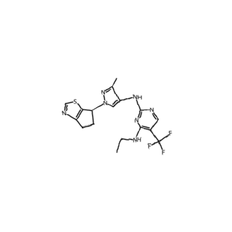 CCNc1nc(Nc2cn(C3CCc4ncsc43)nc2C)ncc1C(F)(F)F